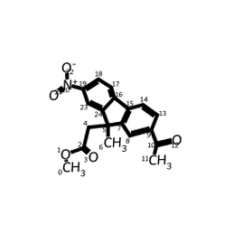 COC(=O)CC1(C)c2cc(C(C)=O)ccc2-c2ccc([N+](=O)[O-])cc21